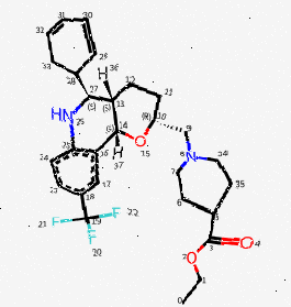 CCOC(=O)C1CCN(C[C@H]2CC[C@@H]3[C@H](O2)c2cc(C(F)(F)F)ccc2N[C@H]3C2C=CC=CC2)CC1